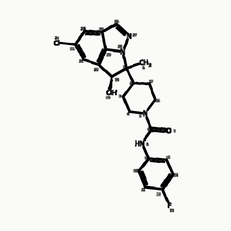 CC1(C2CCN(C(=O)Nc3ccc(F)cc3)CC2)[C@@H](O)c2cc(Cl)cc3cnn1c23